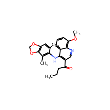 CCCC(=O)c1cnc2c(OC)cccc2c1Nc1c(C)cc2c(c1C)OCO2